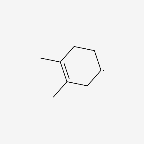 CC1=C(C)CC[CH]C1